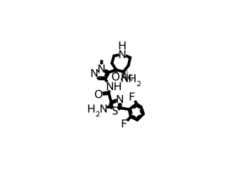 CC(=O)O[C@]1(c2c(NC(=O)c3nc(-c4c(F)cccc4F)sc3N)cnn2C)CCNCC[C@@H]1N